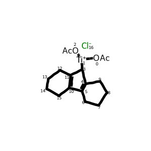 CC(=O)[O][Ti+]([O]C(C)=O)[CH]1C2=C(CCCC2)C2=C1CCCC2.[Cl-]